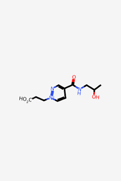 CC(O)CNC(=O)c1cc[n+](CCC(=O)O)nc1